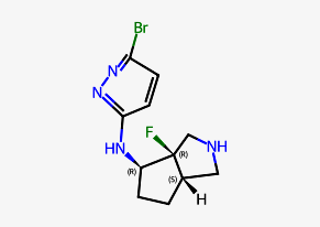 F[C@@]12CNC[C@@H]1CC[C@H]2Nc1ccc(Br)nn1